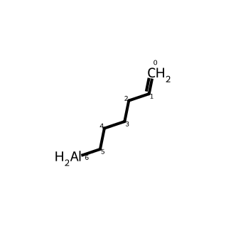 C=CCCC[CH2][AlH2]